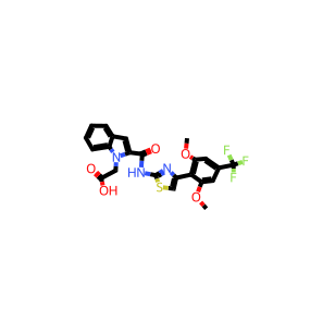 COc1cc(C(F)(F)F)cc(OC)c1-c1csc(NC(=O)c2cc3ccccc3n2CC(=O)O)n1